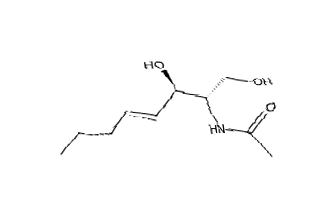 CCCC=C[C@@H](O)[C@H](CO)NC(C)=O